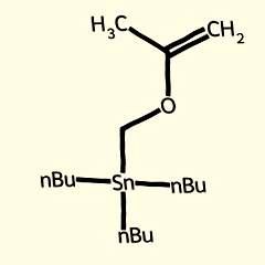 C=C(C)O[CH2][Sn]([CH2]CCC)([CH2]CCC)[CH2]CCC